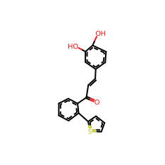 O=C(C=Cc1ccc(O)c(O)c1)c1ccccc1-c1cccs1